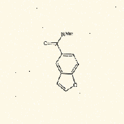 CNC(=O)c1ccc2occc2c1